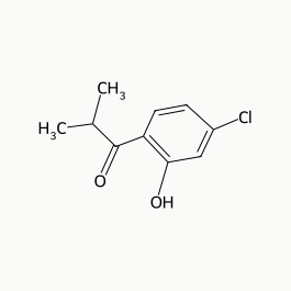 CC(C)C(=O)c1ccc(Cl)cc1O